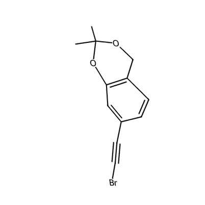 CC1(C)OCc2ccc(C#CBr)cc2O1